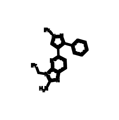 CC(C)Cn1c(N)nc2ccc(-c3cn(C(C)C)nc3-c3ccccc3)nc21